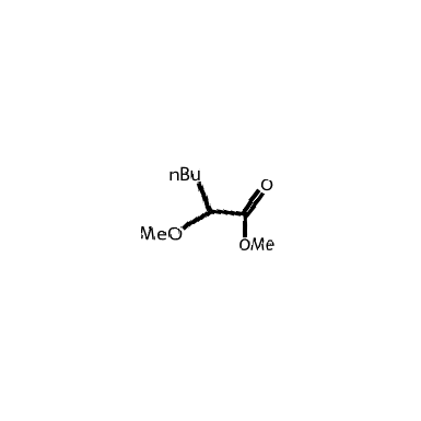 CCCCC(OC)C(=O)OC